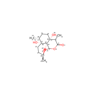 CC1C(=O)OC2O[C@@]3(C)CC[C@@]4(O)[C@H](C)CC[C@]1(O)[C@@]24OO3